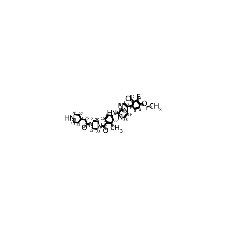 CCOc1ccc(-c2cnc3c(Nc4ccc(C(=O)N5CCN(C(=O)CC6CCNCC6)CC5)c(C)c4)nccn23)c(Cl)c1F